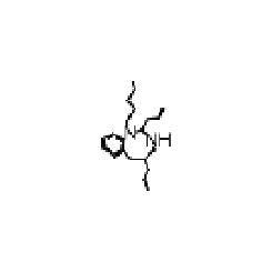 C=CCC1CNC(CC=C)N(CCCCC)c2ccccc2C1